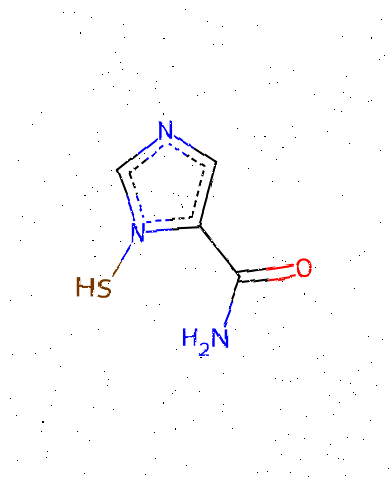 NC(=O)c1cncn1S